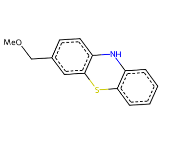 COCc1ccc2c(c1)Sc1ccccc1N2